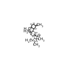 C=CCC(C)(CC=C)C(=O)N1CCN(C)C(c2cc(C)ccc2C)C1